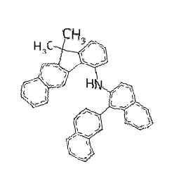 CC1(C)c2cc3ccccc3cc2-c2c(Nc3ccc4ccccc4c3-c3ccc4ccccc4c3)cccc21